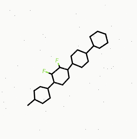 CC1CCC(C2CCC(C3CCC(C4CCCCC4)CC3)C(F)C2F)CC1